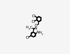 C/C(=N\OCc1cccc(Cl)c1Cl)c1cc(Cl)ccc1N